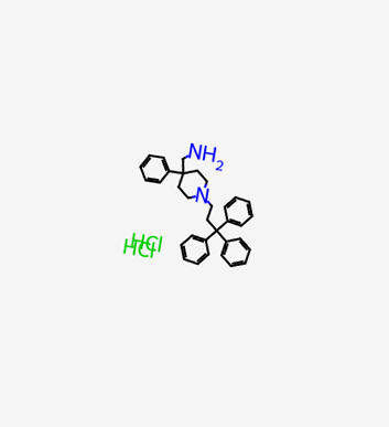 Cl.Cl.NCC1(c2ccccc2)CCN(CCC(c2ccccc2)(c2ccccc2)c2ccccc2)CC1